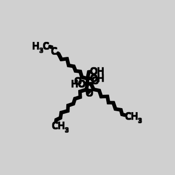 CCCCCCCCCCC(=O)C(O)(CO)C(O)(C(=O)CCCCCCCCCC)C(=O)CCCCCCCCCC